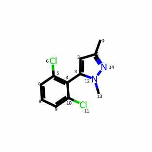 Cc1cc(-c2c(Cl)cccc2Cl)n(C)n1